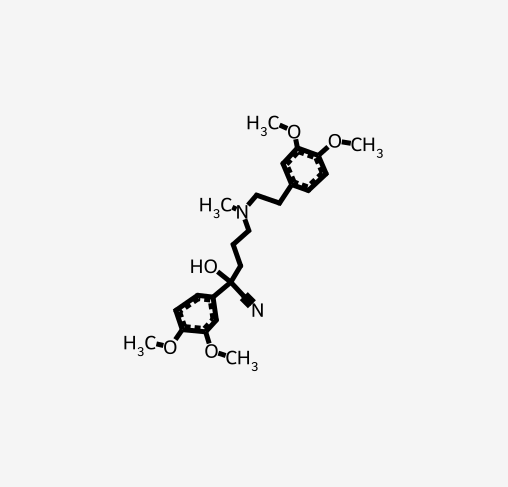 COc1ccc(CCN(C)CCCC(O)(C#N)c2ccc(OC)c(OC)c2)cc1OC